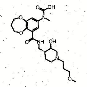 COCCCN1CC[C@@H](CNC(=O)c2cc(N(C)C(=O)O)cc3c2OCCCO3)C(O)C1